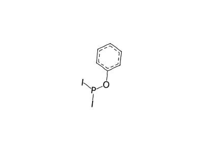 IP(I)Oc1ccccc1